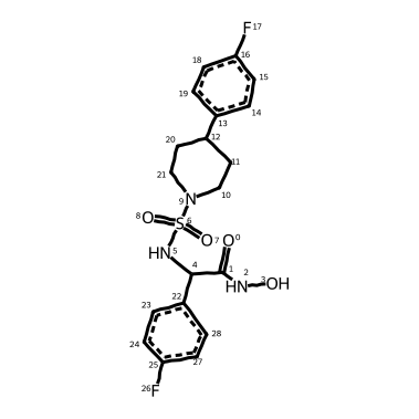 O=C(NO)C(NS(=O)(=O)N1CCC(c2ccc(F)cc2)CC1)c1ccc(F)cc1